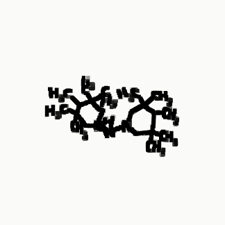 CC1C(C)(C)CN(NN2CC(C)(C)C(C)C(C)(C)C2)CC1(C)C